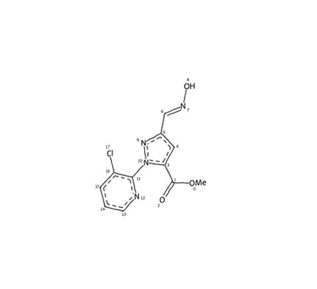 COC(=O)c1cc(C=NO)nn1-c1ncccc1Cl